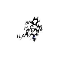 Cc1c(Br)cccc1-n1cnn(C/C(=C\F)COC(N)=O)c1=O